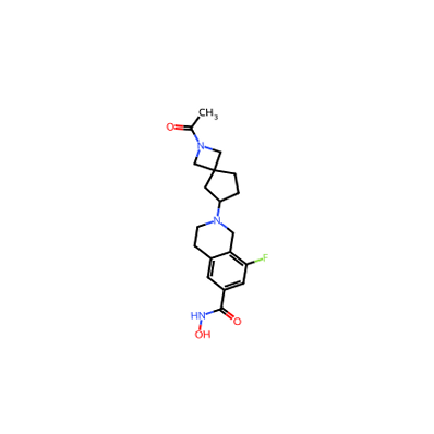 CC(=O)N1CC2(CCC(N3CCc4cc(C(=O)NO)cc(F)c4C3)C2)C1